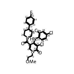 COCCn1cc(C(=O)N2CCC(c3ccc(F)cc3)CC2)c(Nc2ccc(Cl)cc2C)c(Cl)c1=O